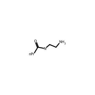 CCCC(=O)[N]CCN